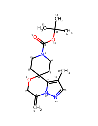 C=C1COC2(CCN(C(=O)OC(C)(C)C)CC2)c2c(C)cnn21